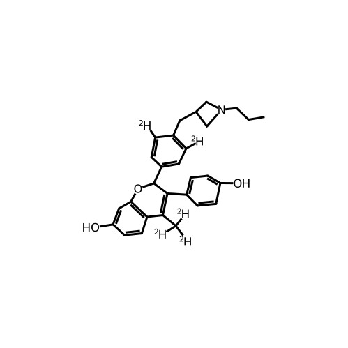 [2H]c1cc(C2Oc3cc(O)ccc3C(C([2H])([2H])[2H])=C2c2ccc(O)cc2)cc([2H])c1CC1CN(CCC)C1